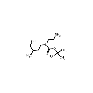 CC(CO)CCN(CCN)C(=O)OC(C)(C)C